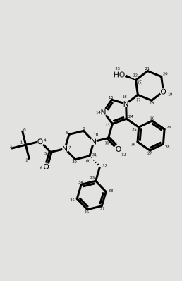 CC(C)(C)OC(=O)N1CCN(C(=O)c2ncn(C3COCC[C@@H]3O)c2-c2ccccc2)[C@H](Cc2ccccc2)C1